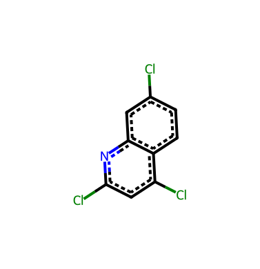 Clc1ccc2c(Cl)cc(Cl)nc2c1